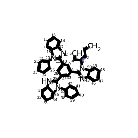 C=C/C=C(\C=C)n1c(-c2cc(-c3nc4ccccc4n3-c3ccccc3)cc(C3Nc4ccccc4N3c3ccccc3)c2)nc2ccccc21